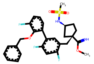 COC(=N)[C@@]1(Cc2cc(-c3cccc(F)c3OCc3ccccc3)c(F)cc2F)CC[C@H](NS(C)(=O)=O)C1